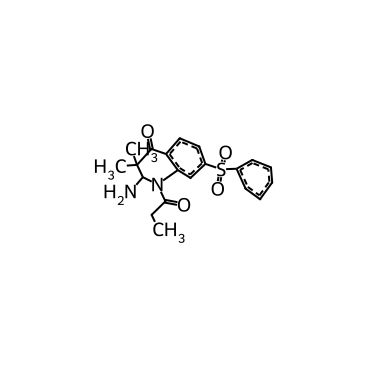 CCC(=O)N1c2cc(S(=O)(=O)c3ccccc3)ccc2C(=O)C(C)(C)C1N